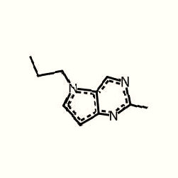 CCCn1ccc2nc(C)ncc21